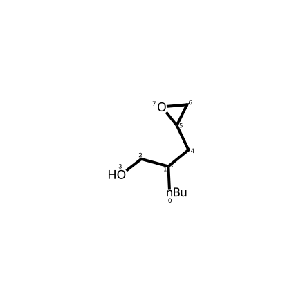 CCCC[C](CO)CC1CO1